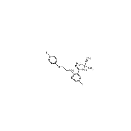 C#CC(C)(C)NC(=O)c1cc(F)cnc1NCCOc1ccc(F)cc1